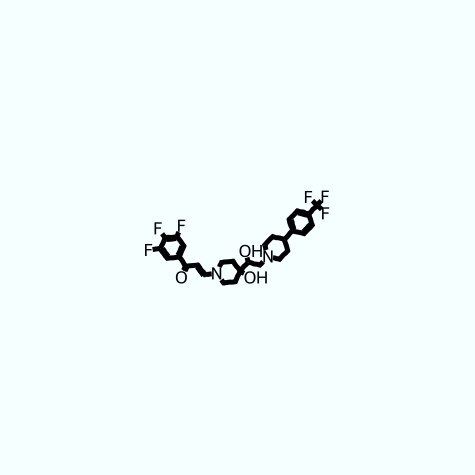 O=C(C=CN1CCC(O)(C(O)CN2CCC(c3ccc(C(F)(F)F)cc3)CC2)CC1)c1cc(F)c(F)c(F)c1